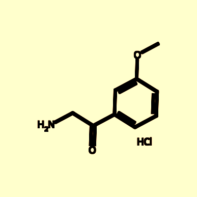 COc1cccc(C(=O)CN)c1.Cl